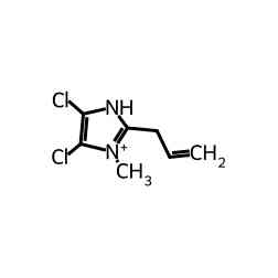 C=CCc1[nH]c(Cl)c(Cl)[n+]1C